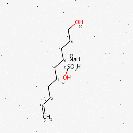 C=CCCCCCCCCO.O=S(=O)(O)O.[NaH]